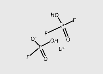 O=P(O)(F)F.O=P([O-])(O)F.[Li+]